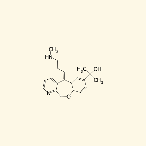 CNCC/C=C1\c2cccnc2COC2C=CC(C(C)(C)O)=CC12